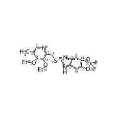 CCOc1c(C)cnc(CSc2nc3cc4c(cc3[nH]2)OC(F)(F)O4)c1OCC